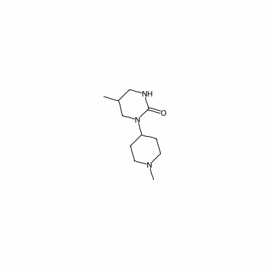 CC1CNC(=O)N(C2CCN(C)CC2)C1